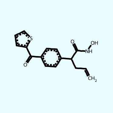 C=CCC(C(=O)NO)c1ccc(C(=O)c2cccs2)cc1